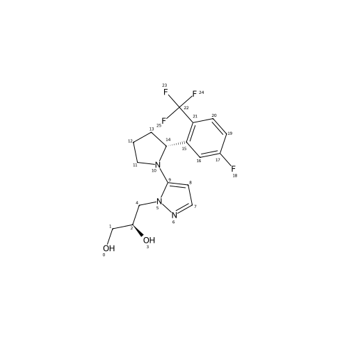 OC[C@H](O)Cn1nccc1N1CCC[C@@H]1c1cc(F)ccc1C(F)(F)F